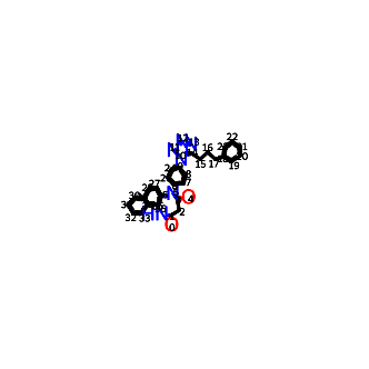 O=C1CC(=O)N(c2ccc(-n3nnnc3CCCc3ccccc3)cc2)c2ccc3ccccc3c2N1